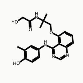 Cc1cc(Nc2ncnc3cccc(OCC(C)(C)NC(=O)CO)c23)ccc1O